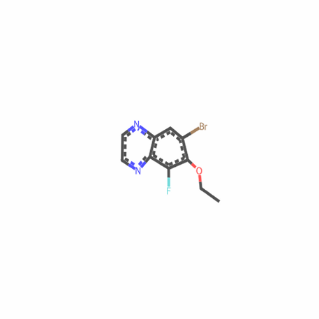 CCOc1c(Br)cc2nccnc2c1F